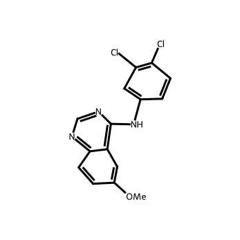 COc1ccc2ncnc(Nc3ccc(Cl)c(Cl)c3)c2c1